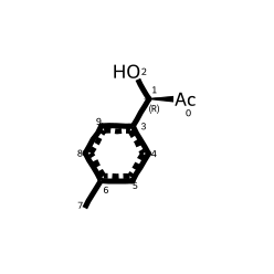 CC(=O)[C@H](O)c1ccc(C)cc1